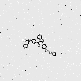 CCC(CN1CCCC1)Oc1ccc(C(=O)c2c(-c3ccc(OCCN4CCCC4)cc3)sc3ccccc23)cc1